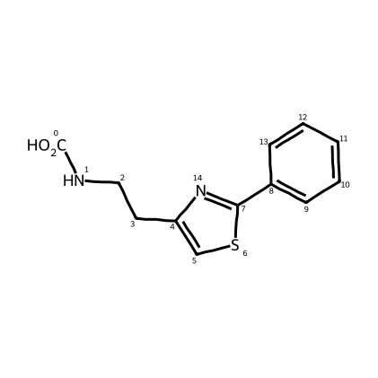 O=C(O)NCCc1csc(-c2ccccc2)n1